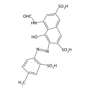 Cc1ccc(N=Nc2c(S(=O)(=O)O)cc3cc(S(=O)(=O)O)cc(NC=O)c3c2O)c(S(=O)(=O)O)c1